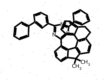 CC1(C)c2cccc(-c3nc(-c4ccccc4)nc(-c4cccc(-c5ccccc5)c4)n3)c2-c2c1ccc1c2-c2ccccc2CC1